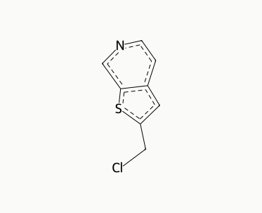 ClCc1cc2ccncc2s1